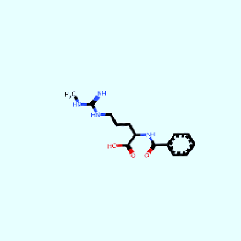 CNC(=N)NCCCC(NC(=O)c1ccccc1)C(=O)O